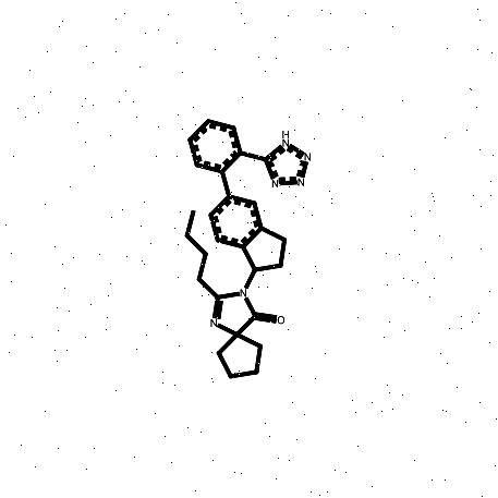 CCCCC1=NC2(CCCC2)C(=O)N1C1CCc2cc(-c3ccccc3-c3nnn[nH]3)ccc21